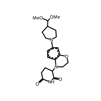 COC(OC)C1CCN(c2ccc3c(c2)OCCN3C2CCC(=O)NC2=O)CC1